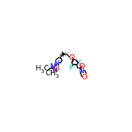 CC(C)c1noc(N2CCC([C@H]3C[C@H]3CCOc3cc(F)c(CC(=O)N4CCOCC4)c(F)c3)CC2)n1